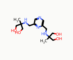 CC(CO)(CO)NCc1cncc(CNC(C)(CO)CO)n1